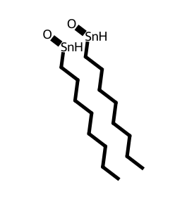 CCCCCCC[CH2][SnH]=[O].CCCCCCC[CH2][SnH]=[O]